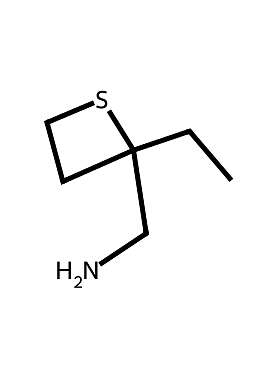 CCC1(CN)CCS1